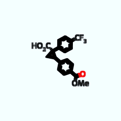 COC(=O)c1ccc(C2C[C@]2(C(=O)O)c2ccc(C(F)(F)F)cc2)cc1